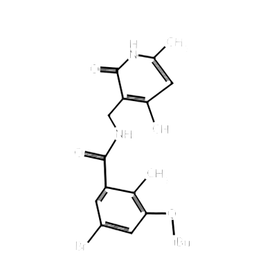 CCC(C)Oc1cc(Br)cc(C(=O)NCc2c(C)cc(C)[nH]c2=O)c1C